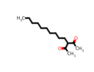 CCCCCCCCCCC(C(C)=O)C(C)=O